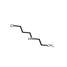 CCCNCCCCl